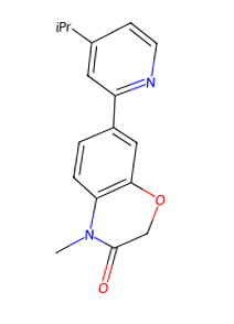 CC(C)c1ccnc(-c2ccc3c(c2)OCC(=O)N3C)c1